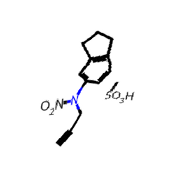 C#CCN(c1ccc2c(c1)CCC2)[N+](=O)[O-].CS(=O)(=O)O